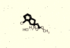 COC(=O)CC1(N)Cc2cccc(Cl)c2C1.Cl